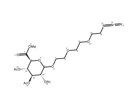 COC(=O)[C@H]1OC(OCCOCCOCCN=[N+]=[N-])[C@H](OC(C)=O)[C@@H](OC(C)=O)[C@@H]1OC(C)=O